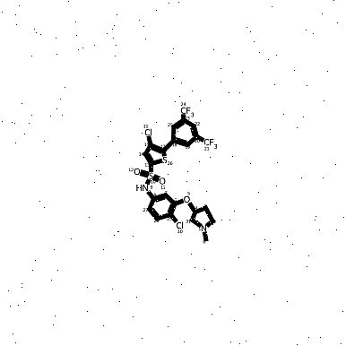 CN1CCC(Oc2cc(NS(=O)(=O)c3cc(Cl)c(-c4cc(C(F)(F)F)cc(C(F)(F)F)c4)s3)ccc2Cl)C1